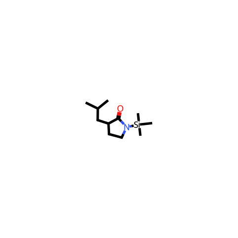 CC(C)CC1CCN([Si](C)(C)C)C1=O